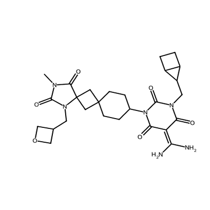 CN1C(=O)N(CC2COC2)C2(CC3(CCC(N4C(=O)C(=C(N)N)C(=O)N(CC5C6CCC65)C4=O)CC3)C2)C1=O